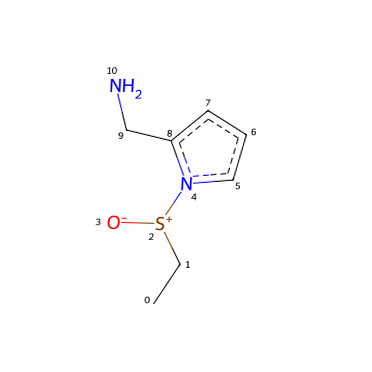 CC[S+]([O-])n1cccc1CN